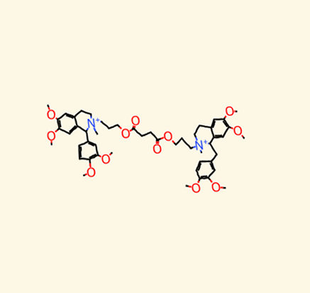 COc1ccc(CC2c3cc(OC)c(OC)cc3CC[N+]2(C)CCCOC(=O)CCC(=O)OCCC[N+]2(C)CCc3cc(OC)c(OC)cc3C2c2ccc(OC)c(OC)c2)cc1OC